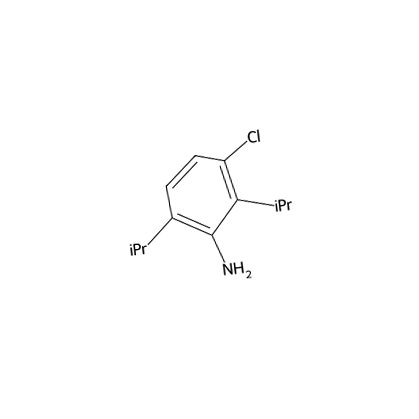 CC(C)c1ccc(Cl)c(C(C)C)c1N